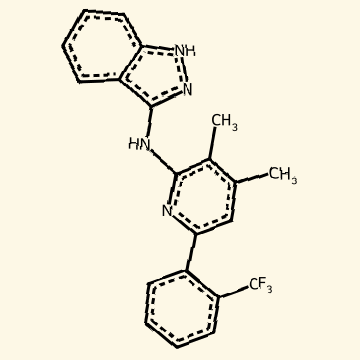 Cc1cc(-c2ccccc2C(F)(F)F)nc(Nc2n[nH]c3ccccc23)c1C